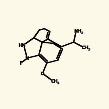 COC1=C2N(F)NC3CCC=C(CC(C)N)C23CC=C1